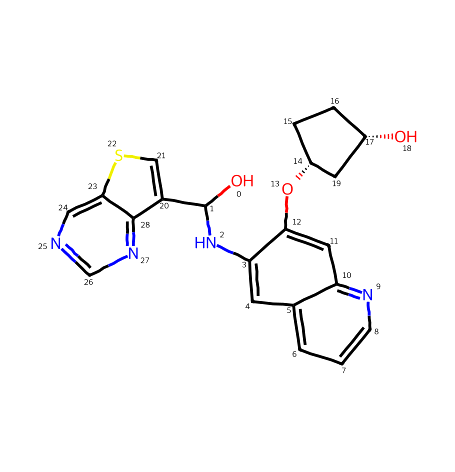 OC(Nc1cc2cccnc2cc1O[C@@H]1CC[C@H](O)C1)c1csc2cncnc12